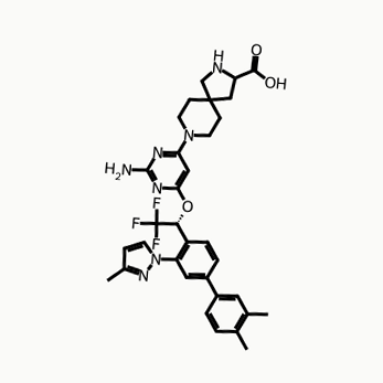 Cc1ccn(-c2cc(-c3ccc(C)c(C)c3)ccc2[C@@H](Oc2cc(N3CCC4(CC3)CNC(C(=O)O)C4)nc(N)n2)C(F)(F)F)n1